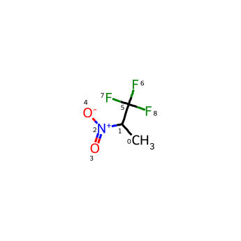 CC([N+](=O)[O-])C(F)(F)F